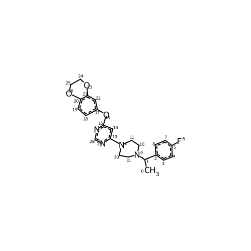 CC(c1ccc(F)cc1)N1CCN(c2cc(Oc3ccc4c(c3)OCCO4)ncn2)CC1